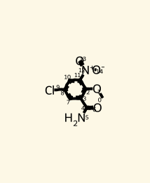 COc1c(C(N)=O)cc(Cl)cc1[N+](=O)[O-]